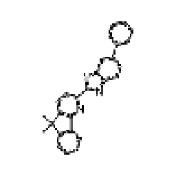 CC1(C)c2ccccc2-c2nc(-c3nc4ccc(-c5ccccc5)cc4s3)ccc21